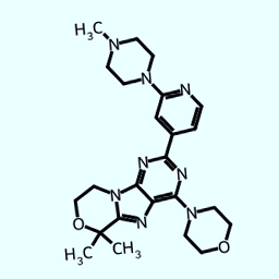 CN1CCN(c2cc(-c3nc(N4CCOCC4)c4nc5n(c4n3)CCOC5(C)C)ccn2)CC1